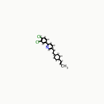 CC=CC1CCC(CCc2ccc(-c3ccc(Cl)c(Cl)c3)nc2)CC1